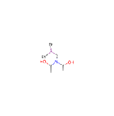 CCP(CC)CN(C(C)O)C(C)O